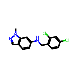 Cn1ncc2ccc(NCc3ccc(Cl)cc3Cl)cc21